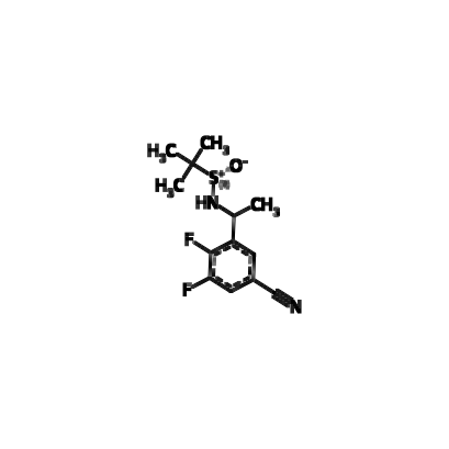 CC(N[S@@+]([O-])C(C)(C)C)c1cc(C#N)cc(F)c1F